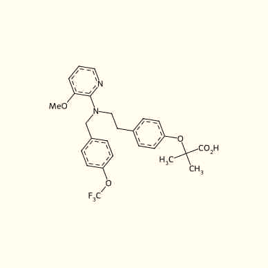 COc1cccnc1N(CCc1ccc(OC(C)(C)C(=O)O)cc1)Cc1ccc(OC(F)(F)F)cc1